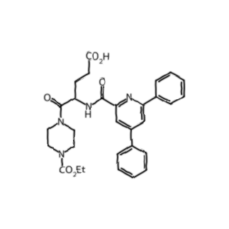 CCOC(=O)N1CCN(C(=O)C(CCC(=O)O)NC(=O)c2cc(-c3ccccc3)cc(-c3ccccc3)n2)CC1